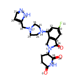 O=C1CCC(N2Cc3c(cc(F)cc3N3CCN(Cc4ccn[nH]4)CC3)C2=O)C(=O)N1